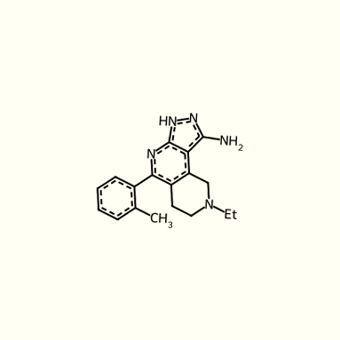 CCN1CCc2c(-c3ccccc3C)nc3[nH]nc(N)c3c2C1